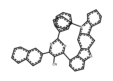 N#Cc1c(-c2ccc3ccccc3c2)nc(-c2ccccc2)nc1-c1cccc2sc3cc4c5ccccc5n(-c5ccccc5)c4cc3c12